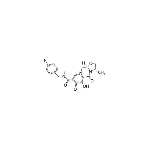 C[C@H]1CO[C@@H]2Cn3cc(C(=O)NCc4ccc(F)cc4)c(=O)c(O)c3C(=O)N12